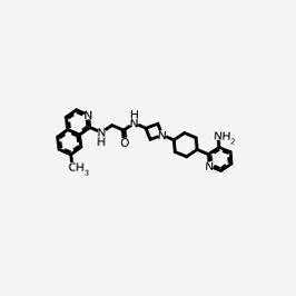 Cc1ccc2ccnc(NCC(=O)NC3CN(C4CCC(c5ncccc5N)CC4)C3)c2c1